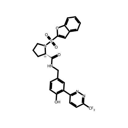 O=C(NCc1ccc(O)c(-c2ccc(C(F)(F)F)nn2)c1)[C@@H]1CCCN1S(=O)(=O)c1cc2ccccc2o1